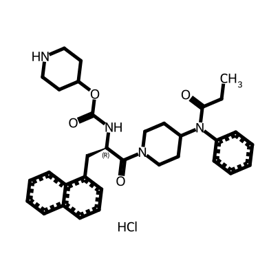 CCC(=O)N(c1ccccc1)C1CCN(C(=O)[C@@H](Cc2cccc3ccccc23)NC(=O)OC2CCNCC2)CC1.Cl